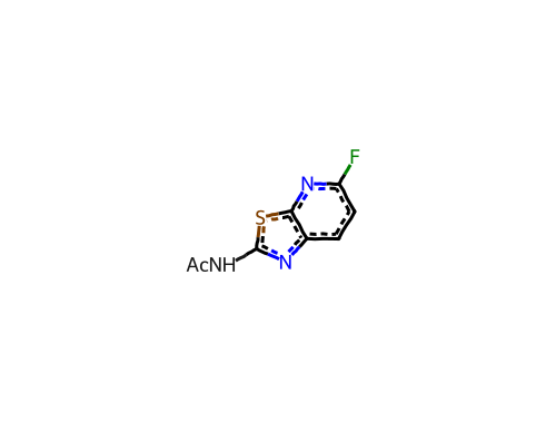 CC(=O)Nc1nc2ccc(F)nc2s1